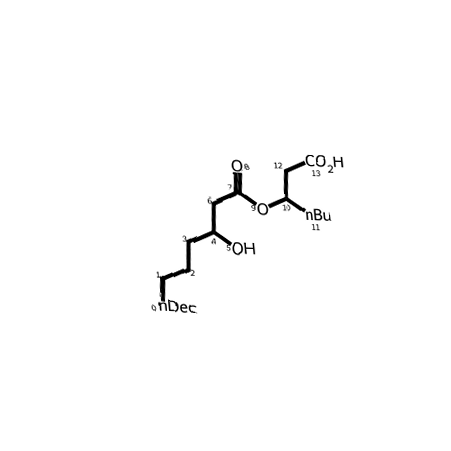 CCCCCCCCCCCCCC(O)CC(=O)OC(CCCC)CC(=O)O